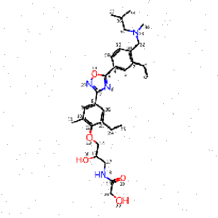 CCc1cc(-c2nc(-c3cc(C)c(OCC(O)CNC(=O)CO)c(CC)c3)no2)ccc1CN(C)CC(C)C